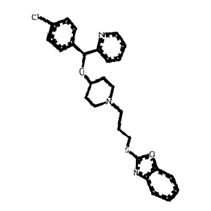 Clc1ccc(C(OC2CCN(CCCSc3nc4ccccc4o3)CC2)c2ccccn2)cc1